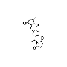 C=C(c1cccc(CN2C(=O)C=C(C)C2=O)c1)N1C(=O)CCC1=O